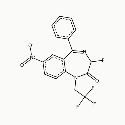 O=C1C(F)N=C(c2ccccc2)c2cc([N+](=O)[O-])ccc2N1CC(F)(F)F